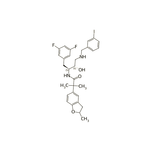 CC1Cc2cc(C(C)(C)C(=O)N[C@@H](Cc3cc(F)cc(F)c3)[C@@H](O)CNCc3cccc(I)c3)ccc2O1